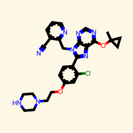 CC1(Oc2ncnc3c2nc(-c2ccc(OCCN4CCNCC4)cc2Cl)n3Cc2ncccc2C#N)CC1